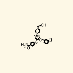 C#CCN1CCN(c2ncc(Sc3ccc(C(N)=O)cc3)c(OCc3cccc(Cl)c3)n2)CC1